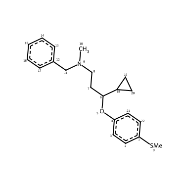 CSc1ccc(OC(CCN(C)Cc2ccccc2)C2CC2)cc1